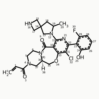 C=CC(=O)N1CCN2C(=O)c3c(N4CC5(CNC5)CC4C)nc(-c4c(O)cccc4F)c(Cl)c3OC[C@H]2C1